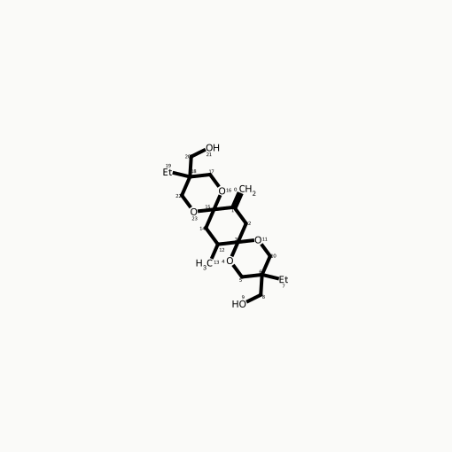 C=C1CC2(OCC(CC)(CO)CO2)C(C)CC12OCC(CC)(CO)CO2